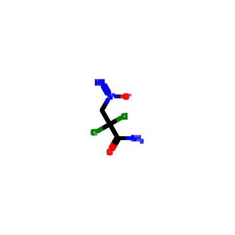 N=[N+]([O-])CC(Cl)(Cl)C(N)=O